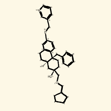 O[C@]1(COCC2CCCC2)CC[C@@]2(Cc3ccccc3)c3ccc(OCc4cccnc4)cc3CC[C@@H]2C1